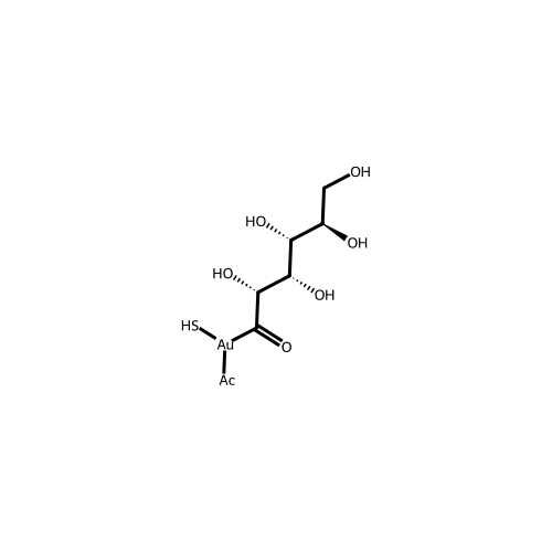 C[C](=O)[Au]([SH])[C](=O)[C@H](O)[C@@H](O)[C@H](O)[C@H](O)CO